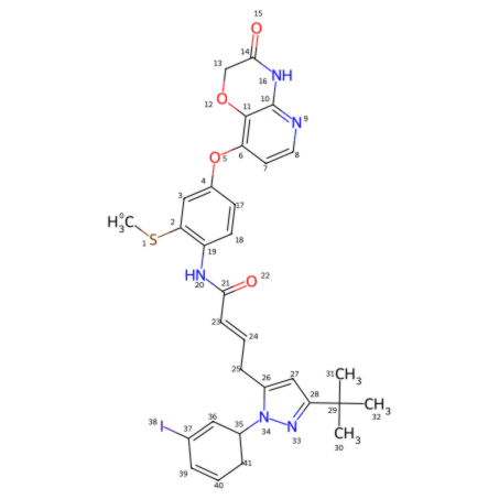 CSc1cc(Oc2ccnc3c2OCC(=O)N3)ccc1NC(=O)/C=C/Cc1cc(C(C)(C)C)nn1C1C=C(I)C=CC1